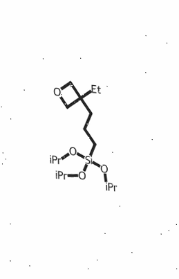 CCC1(CCC[Si](OC(C)C)(OC(C)C)OC(C)C)COC1